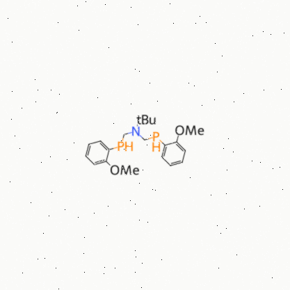 COc1ccccc1PCN(CPc1ccccc1OC)C(C)(C)C